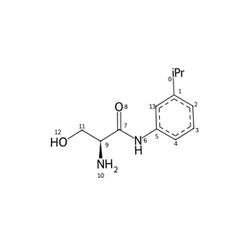 CC(C)c1cccc(NC(=O)[C@@H](N)CO)c1